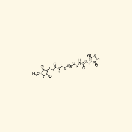 CC1CC(=O)N(CCC(=O)NCCSSCCNC(=O)CCC2C(=O)C=CC2=O)C1=O